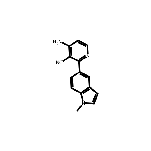 Cn1ccc2cc(-c3nccc(N)c3C#N)ccc21